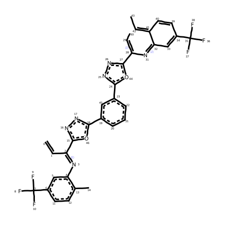 C=C/C(=N\c1cc(C(F)(F)F)ccc1C)c1nnc(-c2cccc(-c3nnc(C(=C/C)/N=C4/C=C(C(F)(F)F)C=CC4=CC)o3)c2)o1